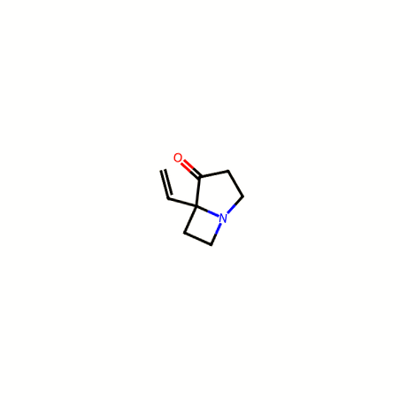 C=CC12CCN1CCC2=O